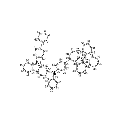 c1ccc(-c2ccc(-n3c4ccccc4c4cc5c6ccccc6n(-c6ccc(-c7ccc8c(c7)[Si](c7ccccc7)(c7ccccc7)c7ccccc7-8)cc6)c5cc43)cc2)cc1